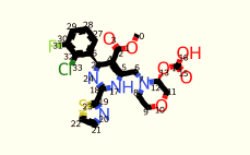 COC(=O)C1=C(CN2CCOC[C@@H]2OC(=O)O)NC(c2nccs2)=N[C@H]1c1cccc(F)c1Cl